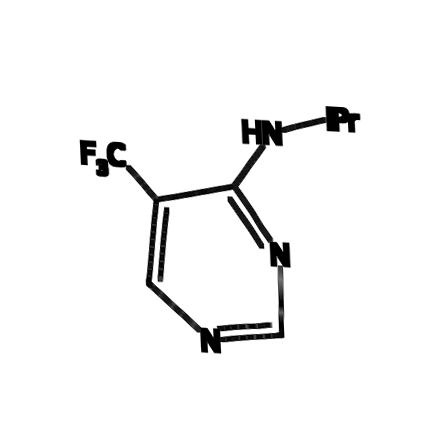 CC(C)Nc1ncncc1C(F)(F)F